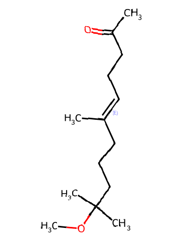 COC(C)(C)CCC/C(C)=C/CCC(C)=O